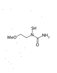 COCCN(S)C(N)=O